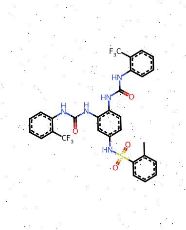 Cc1ccccc1S(=O)(=O)Nc1ccc(NC(=O)Nc2ccccc2C(F)(F)F)c(NC(=O)Nc2ccccc2C(F)(F)F)c1